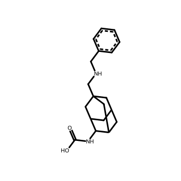 O=C(O)NC1C2CC3CC1CC(CNCc1ccccc1)(C3)C2